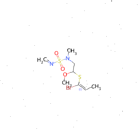 C=NS(=O)(=O)N(C)CC(OC)S/C(Br)=C\C